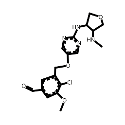 CNC1COCC1Nc1ncc(OCc2cc(C=O)cc(OC)c2Cl)cn1